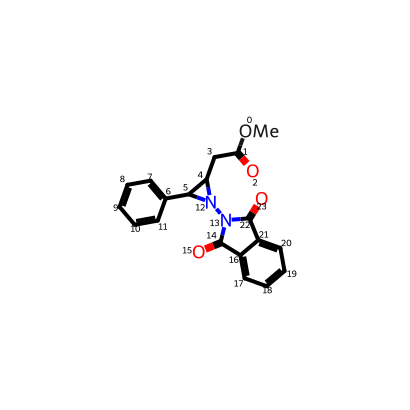 COC(=O)CC1C(c2ccccc2)N1N1C(=O)c2ccccc2C1=O